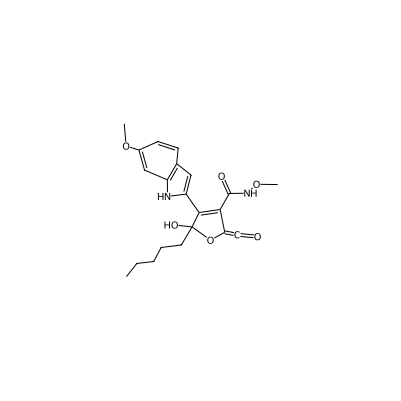 CCCCCC1(O)OC(=C=O)C(C(=O)NOC)=C1c1cc2ccc(OC)cc2[nH]1